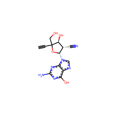 C#CC1(CO)O[C@@H](n2cnc3c(O)nc(N)nc32)[C@@H](C#N)[C@@H]1O